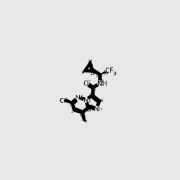 Cc1cc(Cl)nn2c(C(=O)N[C@@H](C3CC3)C(F)(F)F)cnc12